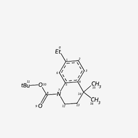 CCc1ccc2c(c1)N(C(=O)OC(C)(C)C)CCC2(C)C